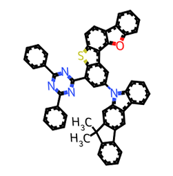 CC1(C)c2ccccc2-c2cc3c4ccccc4n(-c4cc(-c5nc(-c6ccccc6)nc(-c6ccccc6)n5)c5sc6ccc7c8ccccc8oc7c6c5c4)c3cc21